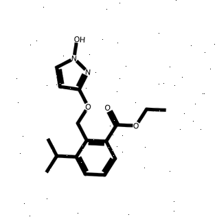 CCOC(=O)c1cccc(C(C)C)c1COc1ccn(O)n1